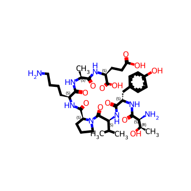 CC(C)[C@H](NC(=O)[C@H](Cc1ccc(O)cc1)NC(=O)[C@@H](N)[C@@H](C)O)C(=O)N1CCC[C@H]1C(=O)N[C@@H](CCCCN)C(=O)N[C@@H](C)C(=O)N[C@@H](CCC(=O)O)C(=O)O